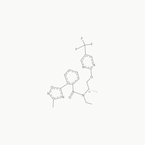 CCN(C(=O)c1ccccc1-c1nc(C)no1)[C@@H](C)COc1ncc(C(F)(F)F)cn1